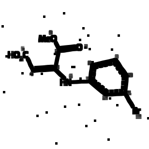 COC(=O)C(=CC(=O)O)Nc1cccc(Br)c1